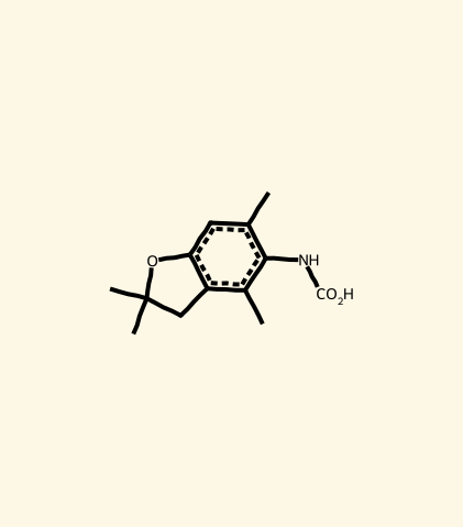 Cc1cc2c(c(C)c1NC(=O)O)CC(C)(C)O2